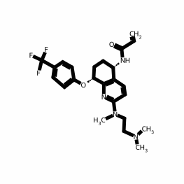 C=CC(=O)N[C@H]1CC[C@@H](Oc2ccc(C(F)(F)F)cc2)c2nc(N(C)CCN(C)C)ccc21